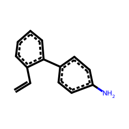 C=Cc1ccccc1-c1ccc(N)cc1